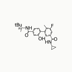 Cc1c(F)cc(C(=O)NC2CC2)cc1-c1ccc(C(=O)N[C@H](C)C(C)(C)C)cc1O